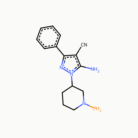 N#Cc1c(-c2ccccc2)nn(C2CCCN(P)C2)c1N